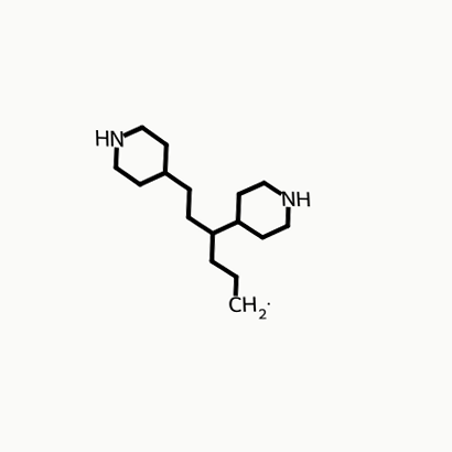 [CH2]CCC(CCC1CCNCC1)C1CCNCC1